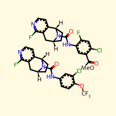 COC(=O)c1cc(NC(=O)N2[C@@H]3CC[C@H]2c2ccnc(F)c2C3)c(F)cc1Cl.O=C(Nc1ccc(OC(F)(F)F)c(Cl)c1)N1[C@@H]2CC[C@H]1c1ccnc(F)c1C2